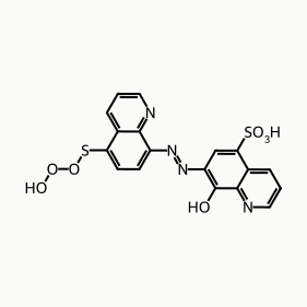 O=S(=O)(O)c1cc(/N=N/c2ccc(SOOO)c3cccnc23)c(O)c2ncccc12